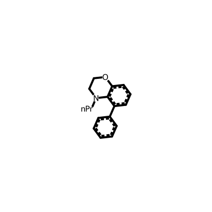 CCCN1CCOc2cccc(-c3ccccc3)c21